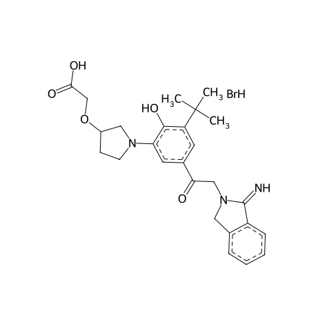 Br.CC(C)(C)c1cc(C(=O)CN2Cc3ccccc3C2=N)cc(N2CCC(OCC(=O)O)C2)c1O